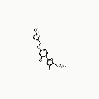 CCOC(=O)c1sc(-n2ccc(OCc3ccc(C(F)(F)F)o3)cc2=O)nc1C